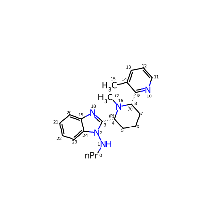 CCCNn1c([C@H]2CCC[C@@H](c3ncccc3C)N2C)nc2ccccc21